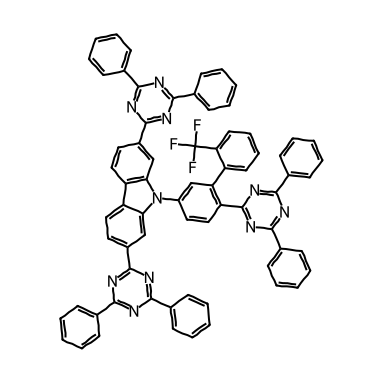 FC(F)(F)c1ccccc1-c1cc(-n2c3cc(-c4nc(-c5ccccc5)nc(-c5ccccc5)n4)ccc3c3ccc(-c4nc(-c5ccccc5)nc(-c5ccccc5)n4)cc32)ccc1-c1nc(-c2ccccc2)nc(-c2ccccc2)n1